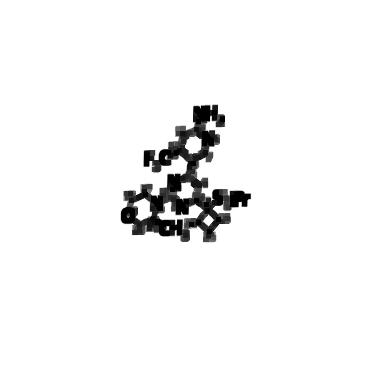 CC(C)SC1(c2cc(-c3cnc(N)cc3C(F)(F)F)nc(N3CCOC[C@@H]3C)n2)CCC1